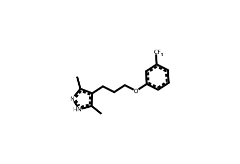 Cc1n[nH]c(C)c1CCCOc1cccc(C(F)(F)F)c1